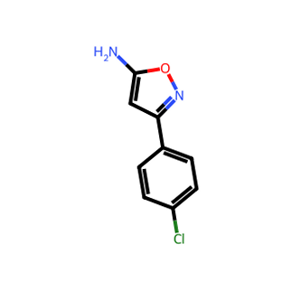 Nc1cc(-c2ccc(Cl)cc2)no1